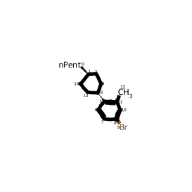 CCCCC[C@H]1CC[C@H](c2ccc(Br)cc2C)CC1